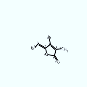 CC1=C(Br)/C(=C/Br)OC1=O